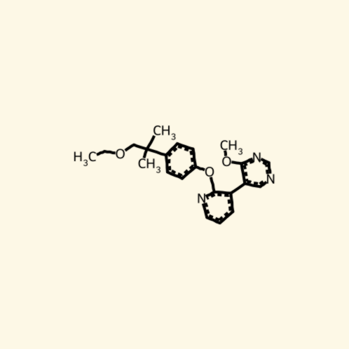 CCOCC(C)(C)c1ccc(Oc2ncccc2-c2cncnc2OC)cc1